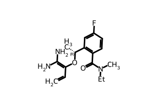 C=CC(O[C@H](C)c1cc(F)ccc1C(=O)N(C)CC)=C(N)N